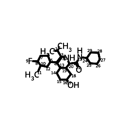 CC(C)C1=C(C2CCC(F)C(C)C2)C2CCC(O)CC2C(C(=O)NC2CCCCC2)N1